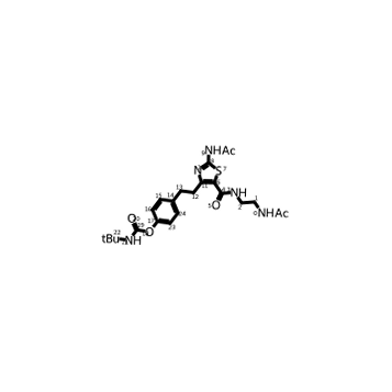 CC(=O)NCCNC(=O)c1sc(NC(C)=O)nc1CCc1ccc(OC(=O)NC(C)(C)C)cc1